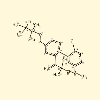 C=C(c1cc(CO[Si](C)(C)C(C)(C)C)ccc1-c1cc(OC)ccc1F)C(C)(C)C